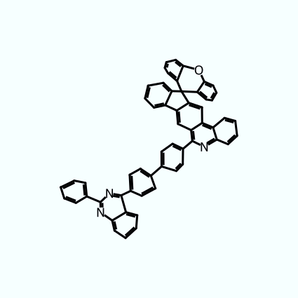 c1ccc(-c2nc(-c3ccc(-c4ccc(-c5nc6ccccc6c6cc7c(cc56)-c5ccccc5C75c6ccccc6Oc6ccccc65)cc4)cc3)c3ccccc3n2)cc1